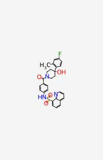 Cc1cc(F)ccc1C1(O)CCN(C(=O)c2ccc(NS(=O)(=O)c3cccc4cccnc34)cc2)CC1